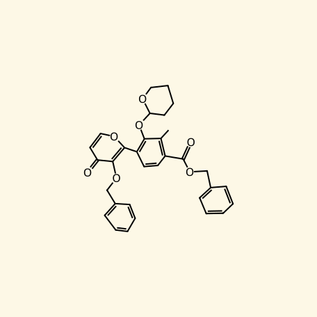 Cc1c(C(=O)OCc2ccccc2)ccc(-c2occc(=O)c2OCc2ccccc2)c1OC1CCCCO1